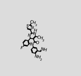 CC1=C(C(=O)Nc2ccc(N)c(C=N)c2)C(c2ccc(F)cc2)N=C(c2csc(C)n2)N1